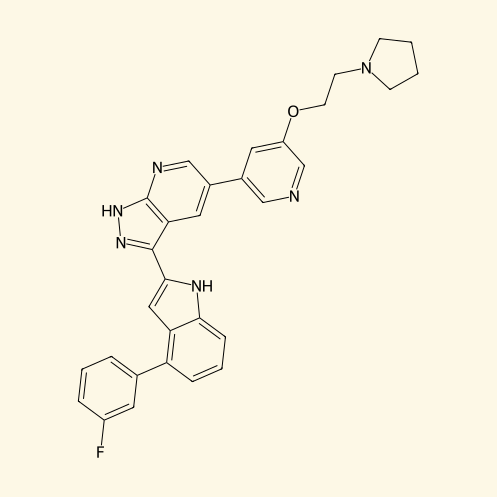 Fc1cccc(-c2cccc3[nH]c(-c4n[nH]c5ncc(-c6cncc(OCCN7CCCC7)c6)cc45)cc23)c1